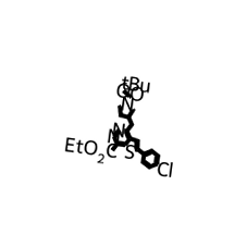 CCOC(=O)c1nnc(CC2CCN(C(=O)OC(C)(C)C)C2)c2cc(-c3ccc(Cl)cc3)sc12